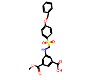 COC(=O)c1cc(NCS(=O)(=O)c2ccc(OCc3ccccc3)cc2)cc(C(=O)O)c1